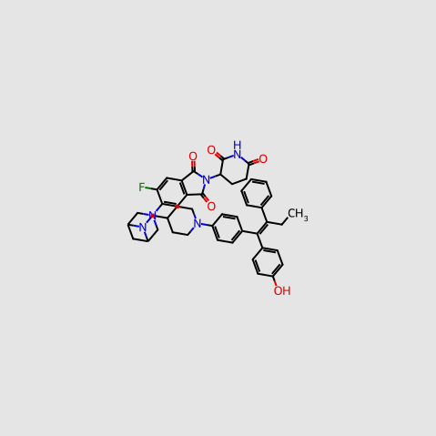 CCC(=C(c1ccc(O)cc1)c1ccc(N2CCC(CN3C4CC3CN(c3cc5c(cc3F)C(=O)N(C3CCC(=O)NC3=O)C5=O)C4)CC2)cc1)c1ccccc1